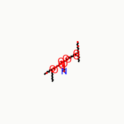 CCCCCCCCC(CCCCCC)OC(=O)CCCCCOC(=O)CCC(OC(=O)CCCN(C)C)C(=O)OCCCCCC(=O)OC(CCCCCC)CCCCCCCC